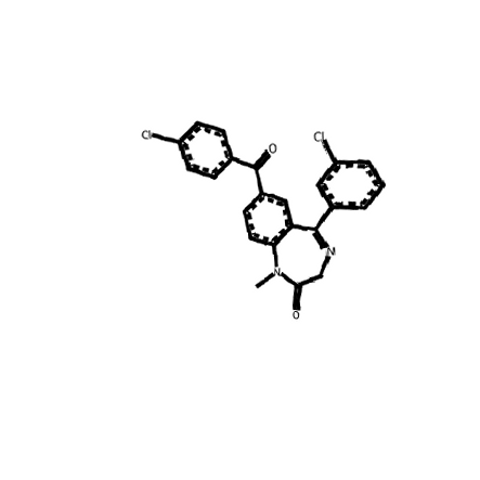 CN1C(=O)CN=C(c2cccc(Cl)c2)c2cc(C(=O)c3ccc(Cl)cc3)ccc21